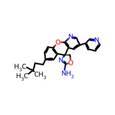 CC(C)(C)CCc1ccc2c(c1)[C@]1(COC(N)=N1)c1cc(-c3cccnc3)cnc1O2